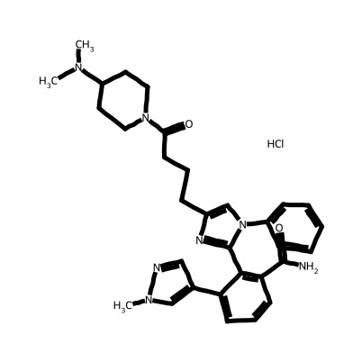 CN(C)C1CCN(C(=O)CCCc2cn(-c3ccccc3)c(-c3c(C(N)=O)cccc3-c3cnn(C)c3)n2)CC1.Cl